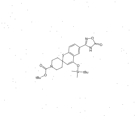 CC(C)(C)OC(=O)N1CCC2(C=C(O[Si](C)(C)C(C)(C)C)c3cc(-c4noc(=O)[nH]4)ccc3S2)CC1